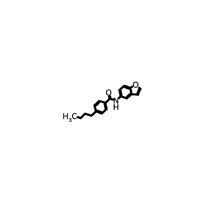 CCCCc1ccc(C(=O)Nc2ccc3occc3c2)cc1